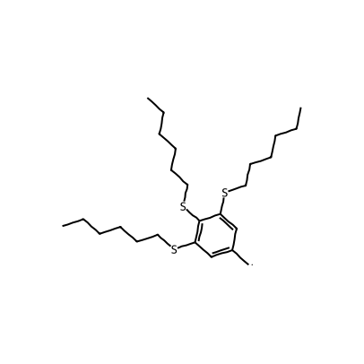 [CH2]c1cc(SCCCCCC)c(SCCCCCC)c(SCCCCCC)c1